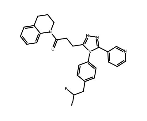 O=C(CCc1nnc(-c2cccnc2)n1-c1ccc(CC(F)F)cc1)N1CCCc2ccccc21